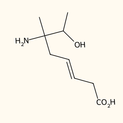 CC(O)C(C)(N)C/C=C/CC(=O)O